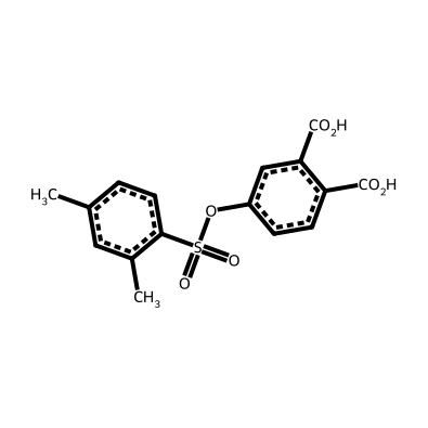 Cc1ccc(S(=O)(=O)Oc2ccc(C(=O)O)c(C(=O)O)c2)c(C)c1